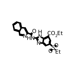 CCOC(=O)c1cc(S(=O)(=O)CC)cc2nc(NC(=O)c3cc4ccccc4cn3)[nH]c12